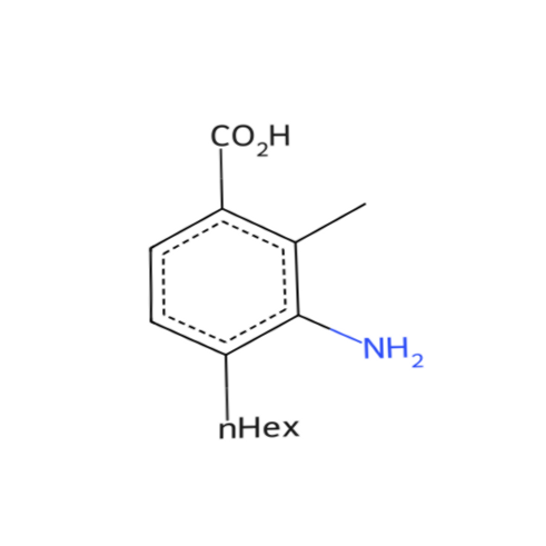 CCCCCCc1ccc(C(=O)O)c(C)c1N